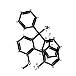 COc1cccc(C(O)(c2ccccc2)c2ccccc2)c1-c1c(N)cccc1Cl